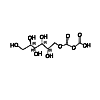 O=C(O)OC(=O)OC[C@H](O)[C@@H](O)[C@H](O)[C@H](O)CO